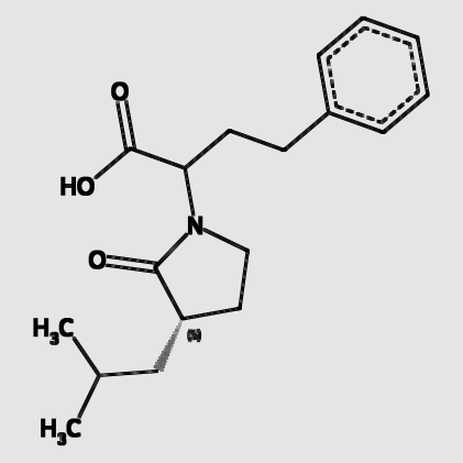 CC(C)C[C@H]1CCN(C(CCc2ccccc2)C(=O)O)C1=O